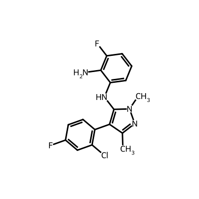 Cc1nn(C)c(Nc2cccc(F)c2N)c1-c1ccc(F)cc1Cl